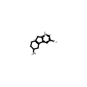 CC(C)C1CCC2=C(C1)c1cc(F)cnc1C2